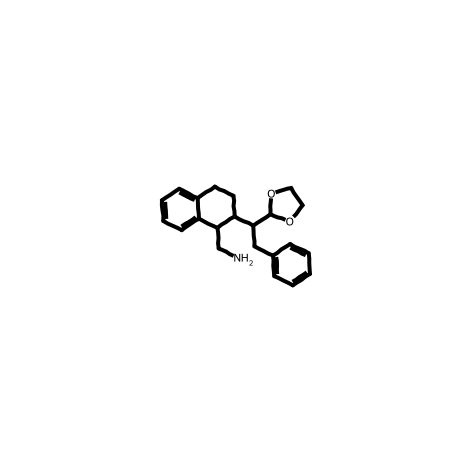 NCC1c2ccccc2CCC1C(Cc1ccccc1)C1OCCO1